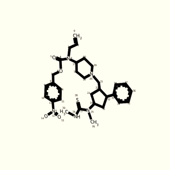 C=CCN(C(=O)OCc1ccc([N+](=O)[O-])cc1)C1CCN(CC2CC(N(C)C(=S)NC)CC2c2ccccc2)CC1